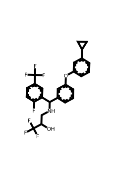 OC(CNC(c1cccc(Oc2cccc(C3CC3)c2)c1)c1cc(C(F)(F)F)ccc1F)C(F)(F)F